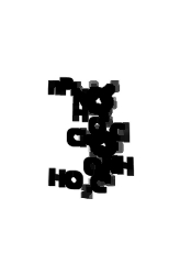 CCCNc1cc(C)cc(COc2c(Cl)cc(NC(=O)CC(=O)O)cc2Cl)c1